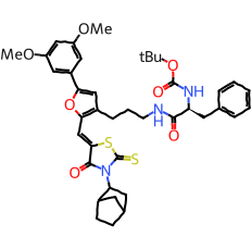 COc1cc(OC)cc(-c2cc(CCCNC(=O)[C@H](Cc3ccccc3)NC(=O)OC(C)(C)C)c(/C=C3\SC(=S)N(C4CC5CCC4C5)C3=O)o2)c1